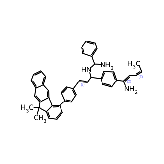 C/C=C\C=C(/N)c1ccc(C(/C=C/c2ccc(-c3cccc4c3-c3cc5ccccc5cc3C4(C)C)cc2)NC(N)c2ccccc2)cc1